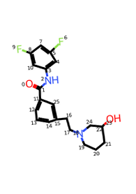 O=C(Nc1cc(F)cc(F)c1)c1cccc(CCN2CCCC(O)C2)c1